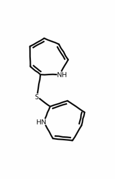 C1=CC=C(SC2=CC=CC=CN2)NC=C1